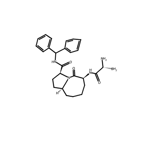 B[C@@H](N)C(=O)N[C@H]1CCCC[C@H]2CC[C@@H](C(=O)NC(c3ccccc3)c3ccccc3)N2C1=O